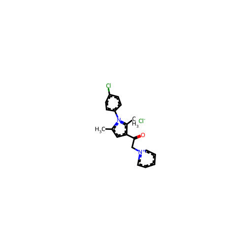 Cc1cc(C(=O)C[n+]2ccccc2)c(C)n1-c1ccc(Cl)cc1.[Cl-]